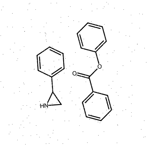 O=C(Oc1ccccc1)c1ccccc1.c1ccc(C2CN2)cc1